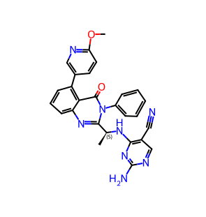 COc1ccc(-c2cccc3nc([C@H](C)Nc4nc(N)ncc4C#N)n(-c4ccccc4)c(=O)c23)cn1